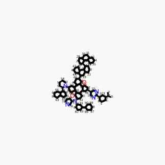 CC(C)c1cccc(-c2ncc(-c3cc4oc5c(-c6cc7cccc(-c8cccc9ccc%10ccccc%10c89)c7c7ccccc67)ccc6c7cc(N8C=CC=CC8c8cccc9ccccc89)cc8oc9c(N(c%10cccnc%10)c%10cccc(-c%11ccccc%11)c%10)ccc(c(c3)c4c56)c9c87)cn2)c1